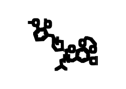 COc1cccc(CN2CC[C@@H](C(=O)N(Cc3cc(Cl)c4c(c3)OCCCO4)CC(C)C)C2)c1OC